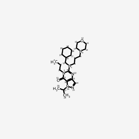 CCCn1c(N(CCCN2CCOCC2)CC2CCCCC2)nc2cnn(C(C)C)c2c1=O